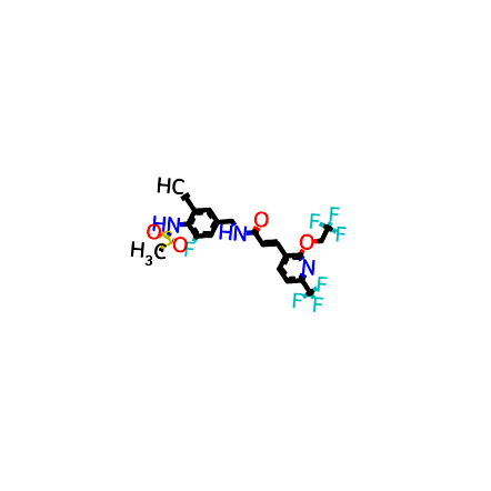 C#Cc1cc(CNC(=O)C=Cc2ccc(C(F)(F)F)nc2OCC(F)(F)F)cc(F)c1NS(C)(=O)=O